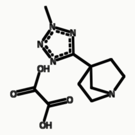 Cn1nnc(C23CCN(CC2)C3)n1.O=C(O)C(=O)O